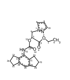 CCOC(=O)C(Cn1cccn1)OC(=O)Nc1c2c(cc3c1CCC3)CCC2